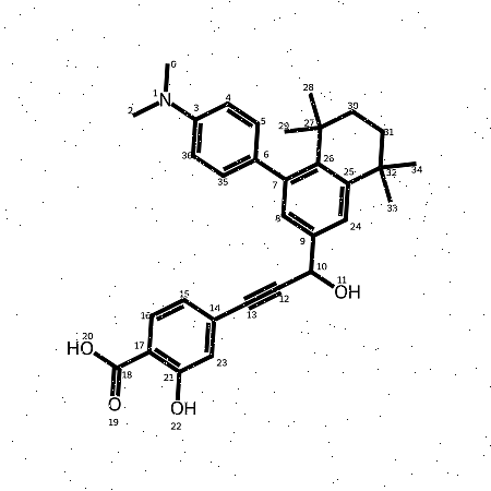 CN(C)c1ccc(-c2cc(C(O)C#Cc3ccc(C(=O)O)c(O)c3)cc3c2C(C)(C)CCC3(C)C)cc1